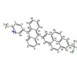 FC(F)(F)c1ccc(-c2c3ccccc3c(-c3cc4ccc5cc(C(F)(F)C(F)(F)F)cc6ccc(c3)c4c56)c3ccccc23)cn1